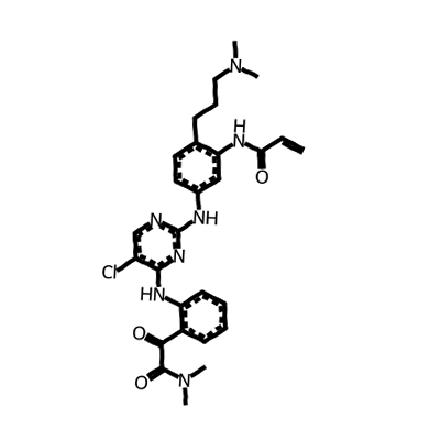 C=CC(=O)Nc1cc(Nc2ncc(Cl)c(Nc3ccccc3C(=O)C(=O)N(C)C)n2)ccc1CCCN(C)C